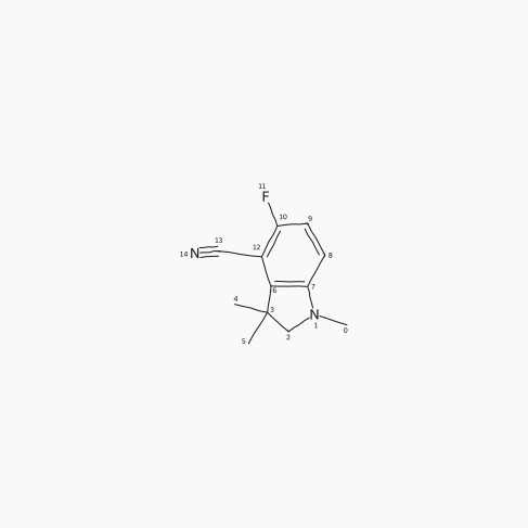 CN1CC(C)(C)c2c1ccc(F)c2C#N